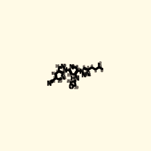 CC(C)CCc1cn(-c2cnc(-n3ncc4cc(C#N)cnc43)cc2NC2COC2)nn1